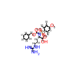 COc1cc(C)c(S(=O)(=O)N(C(=O)OCc2ccccc2)[C@@H](CCCNC(=N)N)C(=O)O)c(C)c1C